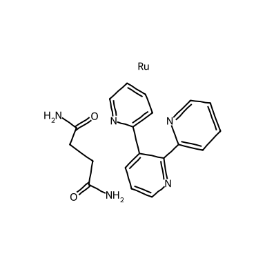 NC(=O)CCC(N)=O.[Ru].c1ccc(-c2cccnc2-c2ccccn2)nc1